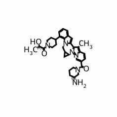 Cc1c(-c2cc3cccc(C4CCN(C(=O)[C@@H](C)O)CC4)c3n2CC2CC2)nn2cc(C(=O)N3CCC[C@@H](N)C3)ccc12